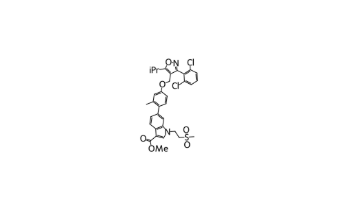 COC(=O)c1cn(CCS(C)(=O)=O)c2cc(-c3ccc(OCc4c(-c5c(Cl)cccc5Cl)noc4C(C)C)cc3C)ccc12